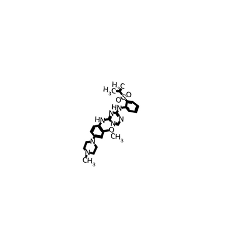 COc1cc(N2CCN(C)CC2)ccc1Nc1ncnc(Nc2ccccc2S(=O)(=O)C(C)C)n1